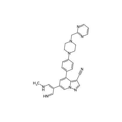 CN/C=C(\C=N)c1cc(-c2ccc(N3CCN(Cc4ncccn4)CC3)cc2)c2c(C#N)cnn2c1